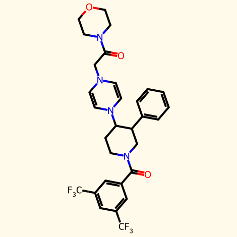 O=C(CN1C=CN(C2CCN(C(=O)c3cc(C(F)(F)F)cc(C(F)(F)F)c3)CC2c2ccccc2)C=C1)N1CCOCC1